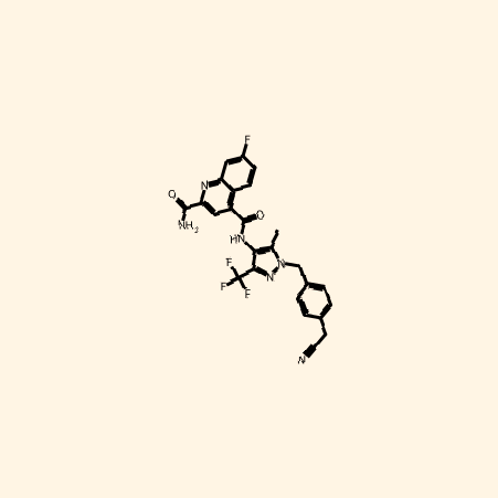 Cc1c(NC(=O)c2cc(C(N)=O)nc3cc(F)ccc23)c(C(F)(F)F)nn1Cc1ccc(CC#N)cc1